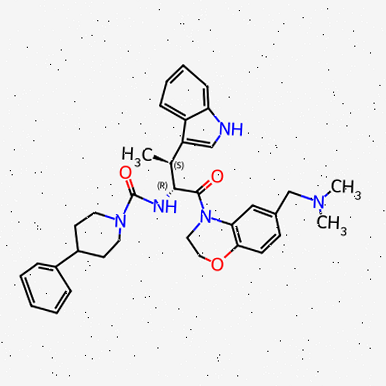 C[C@@H](c1c[nH]c2ccccc12)[C@@H](NC(=O)N1CCC(c2ccccc2)CC1)C(=O)N1CCOc2ccc(CN(C)C)cc21